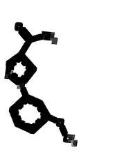 NC(=O)c1cnn(-c2cccc(OC(F)(F)F)c2)c1